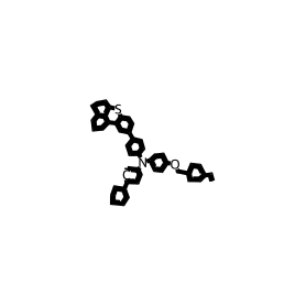 C=Cc1ccc(COc2ccc(N(c3ccc(-c4ccccc4)cc3)c3ccc(-c4ccc5c(c4)-c4cccc6cccc(c46)S5)cc3)cc2)cc1